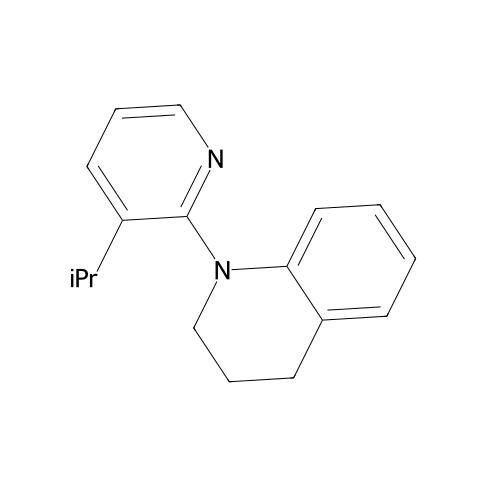 CC(C)c1cccnc1N1CCCc2ccccc21